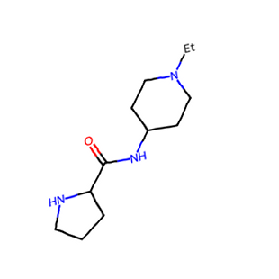 CCN1CCC(NC(=O)C2CCCN2)CC1